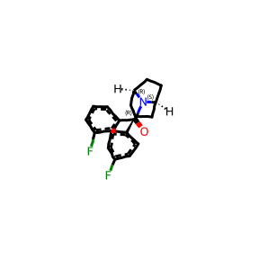 O=C(c1cccc(F)c1)N1[C@@H]2CC[C@H]1C[C@@H](c1ccc(F)cc1)C2